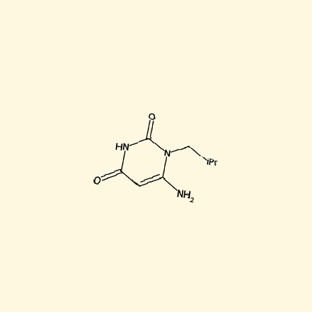 CC(C)Cn1c(N)cc(=O)[nH]c1=O